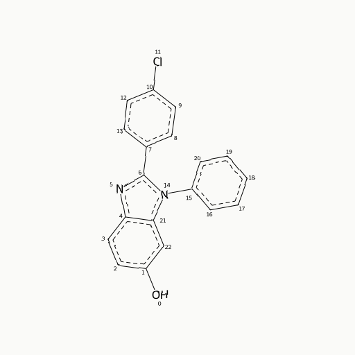 Oc1ccc2nc(-c3ccc(Cl)cc3)n(-c3ccccc3)c2c1